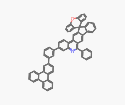 c1ccc(-c2nc3cc(-c4cccc(-c5ccc6c7ccccc7c7ccccc7c6c5)c4)ccc3c3cc4c(cc23)-c2ccccc2C42c3ccccc3Oc3ccccc32)cc1